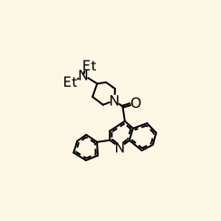 CCN(CC)C1CCN(C(=O)c2cc(-c3ccccc3)nc3ccccc23)CC1